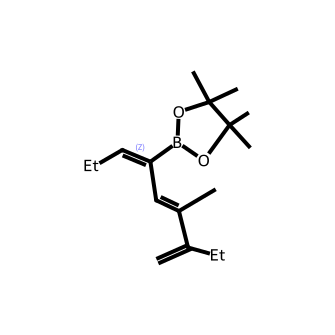 C=C(CC)C(C)=C/C(=C\CC)B1OC(C)(C)C(C)(C)O1